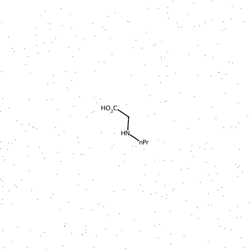 [CH2]CCNCC(=O)O